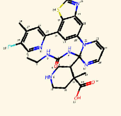 CCNC(=O)NC1(C2CNCCC2(C)C(=O)O)N=CC=CN1c1cc(-c2cc(C)c(F)cn2)c2scnc2c1